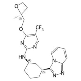 C[C@@]1(COc2nc(N[C@@H]3CCC[C@H](c4nnc5ccccn45)C3)ncc2C(F)(F)F)CCO1